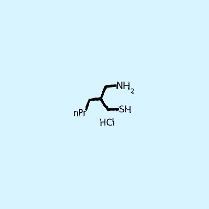 CCCCC(CN)CS.Cl